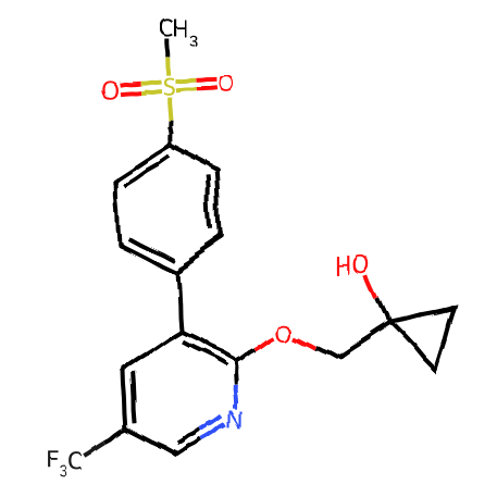 CS(=O)(=O)c1ccc(-c2cc(C(F)(F)F)cnc2OCC2(O)CC2)cc1